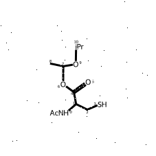 CC(=O)NC(CS)C(=O)OC(C)OC(C)C